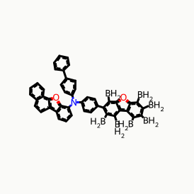 Bc1c(B)c(B)c2c(oc3c(B)c(-c4ccc(N(c5ccc(-c6ccccc6)cc5)c5cccc6c5oc5c7ccccc7ccc65)cc4)c(B)c(B)c32)c1B